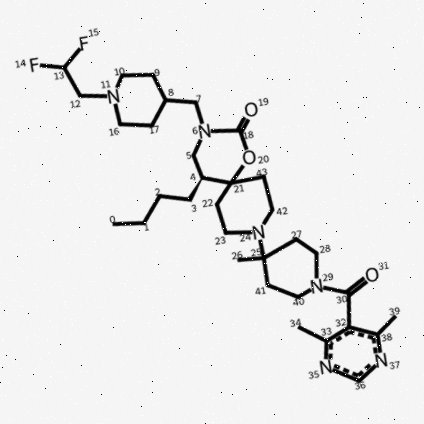 CCCC[C@H]1CN(CC2CCN(CC(F)F)CC2)C(=O)OC12CCN(C1(C)CCN(C(=O)c3c(C)ncnc3C)CC1)CC2